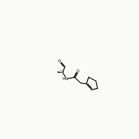 C[C@@H]([C]=O)NC(=O)CC1=CCCC1